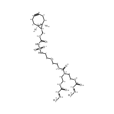 O=C(NS(=O)(=O)NCCOCCOC(=O)N(CCOC(=O)/P=N/P)CCOC(=O)/P=N/P)OC[C@@H]1[C@@H]2CCC#CCC[C@@H]21